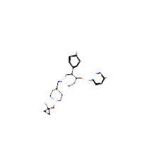 CC1(C(=O)N2CCC(C(=O)N3CCC(COc4ccc(C(F)(F)F)cn4)C(c4ccc(Cl)cc4)C3)CC2)CC1